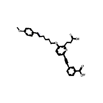 COc1ccc(/C=C/CCCCOc2ccc(C#Cc3cccc(C(=O)O)c3)nc2CCC(=O)O)cc1